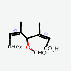 CCCCCC/C=C(/C)C(OC=O)/C(C)=C\C(=O)O